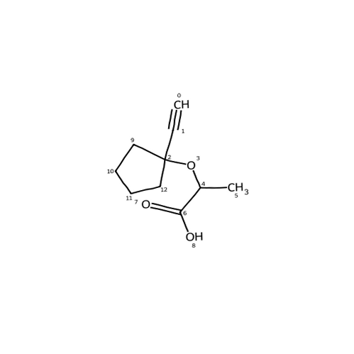 C#CC1(OC(C)C(=O)O)CCCC1